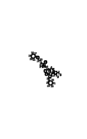 CC1(C)SCN(C(=O)CNC(=O)CCCOc2ccccc2)[C@@H]1C(=O)OCc1ccccc1